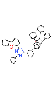 c1ccc(-c2nc(-c3cccc(-c4cccc(-c5cccc6c5C5(c7ccccc7-c7ccccc75)c5ccccc5-6)c4)c3)nc(-c3cccc4c3oc3ccccc34)n2)cc1